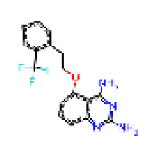 Nc1nc(N)c2c(OCCc3ccccc3C(F)(F)F)cccc2n1